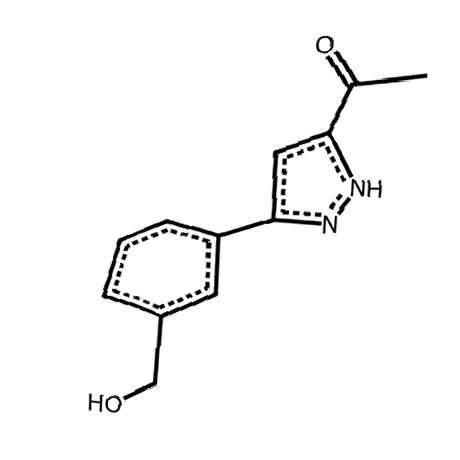 CC(=O)c1cc(-c2cccc(CO)c2)n[nH]1